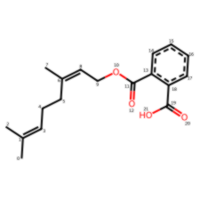 CC(C)=CCCC(C)=CCOC(=O)c1ccccc1C(=O)O